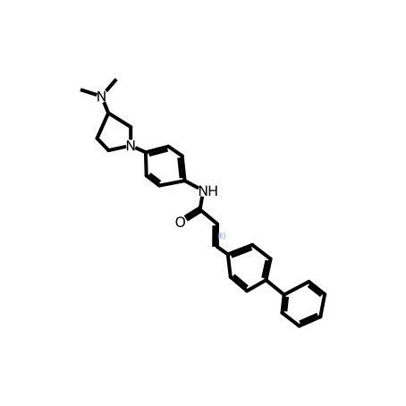 CN(C)C1CCN(c2ccc(NC(=O)/C=C/c3ccc(-c4ccccc4)cc3)cc2)C1